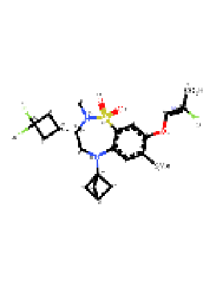 CSc1cc2c(cc1O/C=C(\F)C(=O)O)S(=O)(=O)N(C)[C@@H](C1CC(F)(F)C1)CN2C12CC(C1)C2